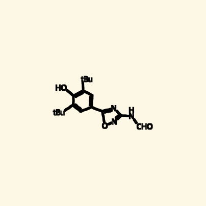 CC(C)(C)c1cc(-c2nc(NC=O)no2)cc(C(C)(C)C)c1O